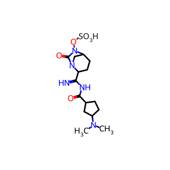 CN(C)C1CCC(C(=O)NC(=N)C2CCC3CN2C(=O)N3OS(=O)(=O)O)C1